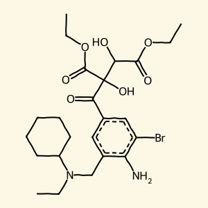 CCOC(=O)C(O)C(O)(C(=O)OCC)C(=O)c1cc(Br)c(N)c(CN(CC)C2CCCCC2)c1